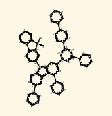 CC1(C)c2ccccc2-c2ccc(-n3c4ccc(-c5ccccc5)cc4c4c(-c5ccccc5)cc(-c5nc(-c6ccccc6)nc(-c6ccc(-c7ccccc7)cc6)n5)cc43)cc21